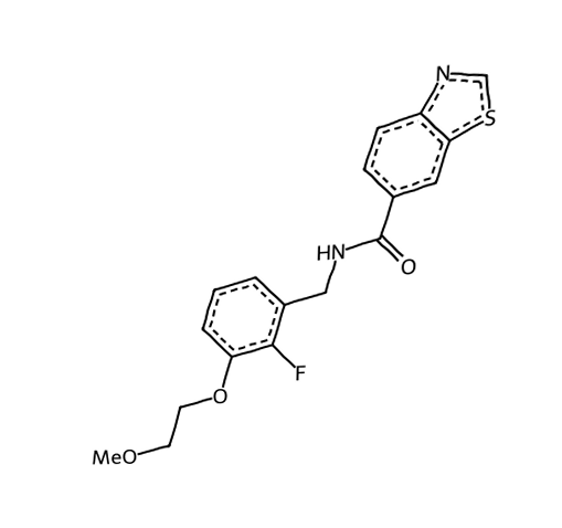 COCCOc1cccc(CNC(=O)c2ccc3ncsc3c2)c1F